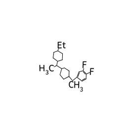 CCC1CCC(C(C)C2CCC(C(C)c3ccc(F)c(F)c3)CC2)CC1